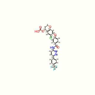 O=C(O)OC1CCOc2cc(Oc3ccc(C(=O)Nc4ccc(-c5ccc(C(F)(F)F)cc5)nn4)cc3)c(Cl)cc21